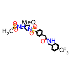 C=CS(=O)(=O)NC[C@@H]1CN(S(=O)(=O)c2ccc(CC(=O)NCc3ccc(C(F)(F)F)cc3)cc2)C[C@H]1OC